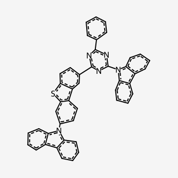 c1ccc(-c2nc(-c3ccc4sc5cc(-n6c7ccccc7c7ccccc76)ccc5c4c3)nc(-n3c4ccccc4c4ccccc43)n2)cc1